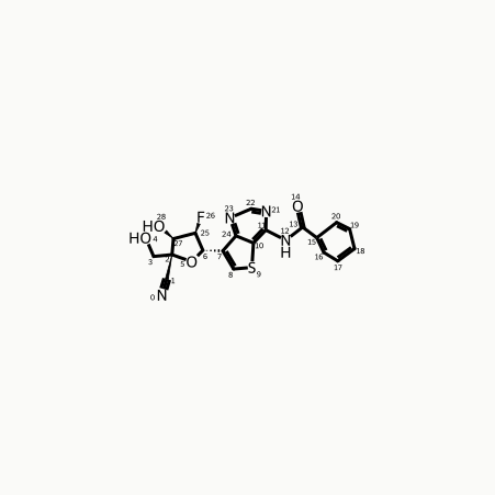 N#C[C@]1(CO)O[C@@H](c2csc3c(NC(=O)c4ccccc4)ncnc23)[C@H](F)[C@@H]1O